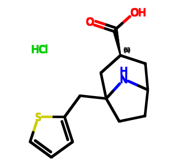 Cl.O=C(O)[C@H]1CC2CCC(Cc3cccs3)(C1)N2